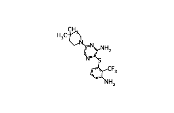 CC1(C)CCN(c2cnc(Sc3cccc(N)c3C(F)(F)F)c(N)n2)CC1